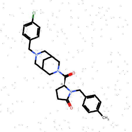 Cc1ccc(CN2C(=O)CC[C@H]2C(=O)N2CC3CC(CN(Cc4ccc(Cl)cc4)C3)C2)cc1